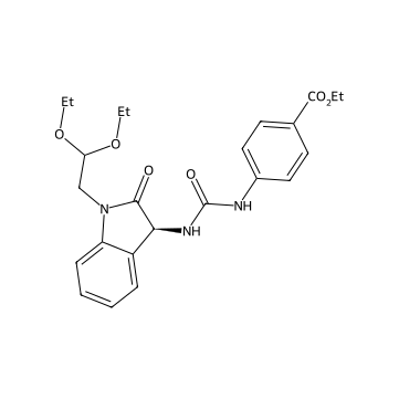 CCOC(=O)c1ccc(NC(=O)N[C@@H]2C(=O)N(CC(OCC)OCC)c3ccccc32)cc1